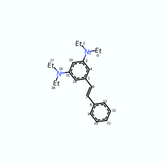 CCN(CC)c1cc(C=Cc2ccccc2)cc(N(CC)CC)c1